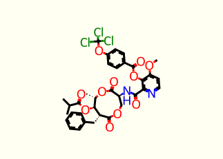 COc1ccnc(C(=O)N[C@H]2COC(=O)[C@H](Cc3ccccc3)[C@@H](OC(=O)C(C)C)[C@H](C)OC2=O)c1OC(=O)c1ccc(OC(Cl)(Cl)Cl)cc1